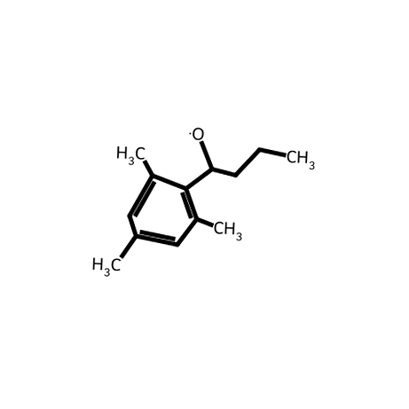 CCCC([O])c1c(C)cc(C)cc1C